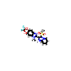 CCS(=O)(=O)c1c(-c2nc3cc4c(cc3n2C)OC(F)(F)O4)nc2ccccn12